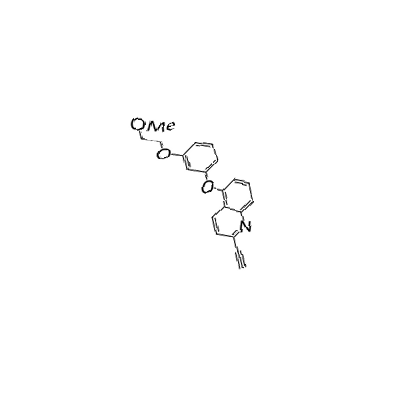 C#Cc1ccc2c(Oc3cccc(OCCOC)c3)cccc2n1